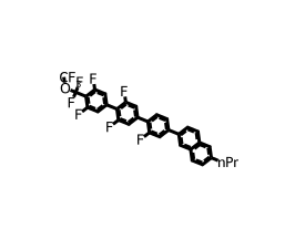 CCCc1ccc2cc(-c3ccc(-c4cc(F)c(-c5cc(F)c(C(F)(F)OC(F)(F)F)c(F)c5)c(F)c4)c(F)c3)ccc2c1